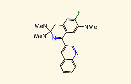 CNc1cc2c(cc1F)CC(NC)(NC)N=C2c1cnc2ccccc2c1